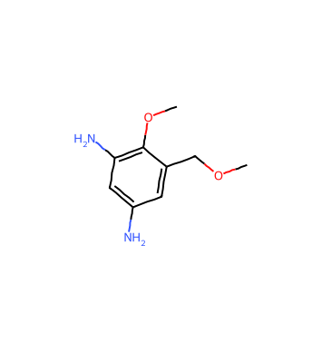 COCc1cc(N)cc(N)c1OC